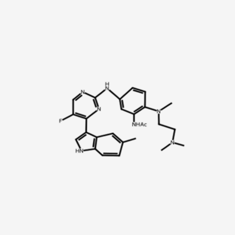 CC(=O)Nc1cc(Nc2ncc(F)c(-c3c[nH]c4ccc(C)cc34)n2)ccc1N(C)CCN(C)C